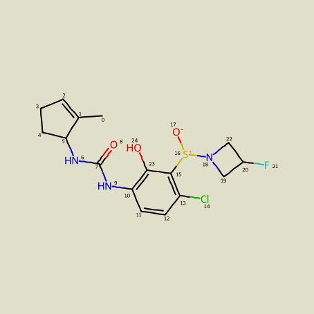 CC1=CCCC1NC(=O)Nc1ccc(Cl)c([S+]([O-])N2CC(F)C2)c1O